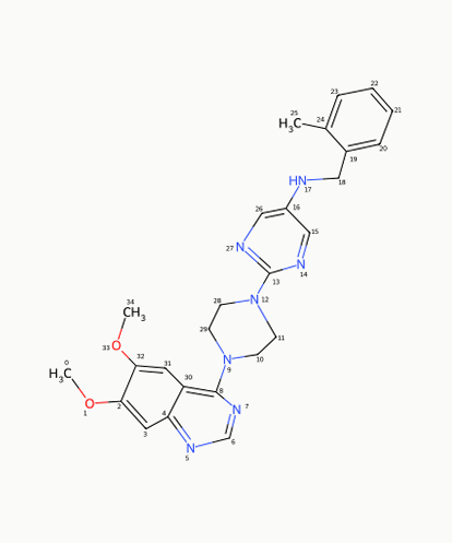 COc1cc2ncnc(N3CCN(c4ncc(NCc5ccccc5C)cn4)CC3)c2cc1OC